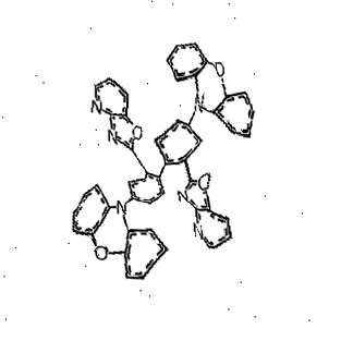 c1ccc2c(c1)Oc1ccccc1N2c1ccc(-c2ccc(N3c4ccccc4Oc4ccccc43)cc2-c2nc3ncccc3o2)c(-c2nc3ncccc3o2)c1